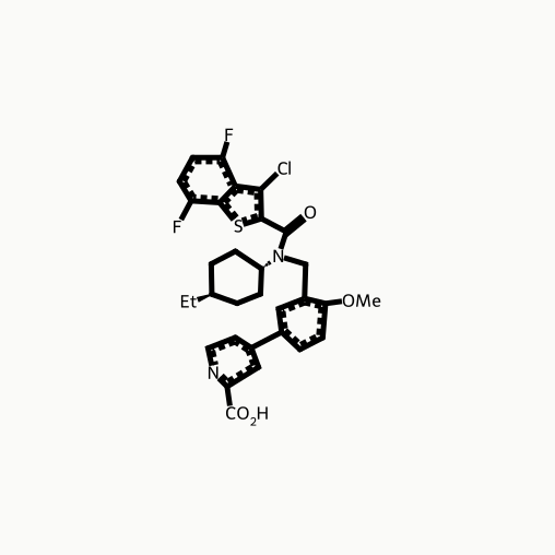 CC[C@H]1CC[C@H](N(Cc2cc(-c3ccnc(C(=O)O)c3)ccc2OC)C(=O)c2sc3c(F)ccc(F)c3c2Cl)CC1